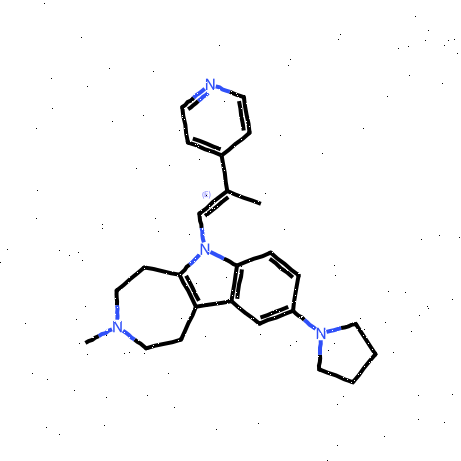 C/C(=C\n1c2c(c3cc(N4CCCC4)ccc31)CCN(C)CC2)c1ccncc1